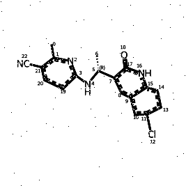 Cc1nc(N[C@H](C)c2cc3cc(Cl)ccc3[nH]c2=O)ccc1C#N